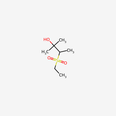 CCS(=O)(=O)C(C)C(C)(C)O